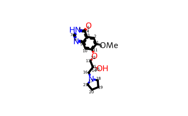 COc1cc2c(=O)[nH]cnc2cc1OC[C@H](O)CN1CCCC1